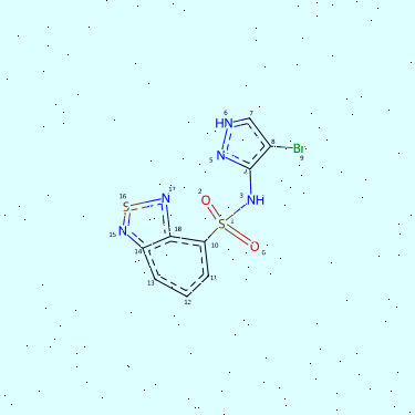 O=S(=O)(Nc1n[nH]cc1Br)c1cccc2nsnc12